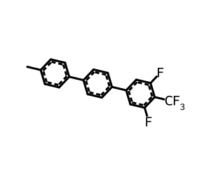 Cc1ccc(-c2ccc(-c3cc(F)c(C(F)(F)F)c(F)c3)cc2)cc1